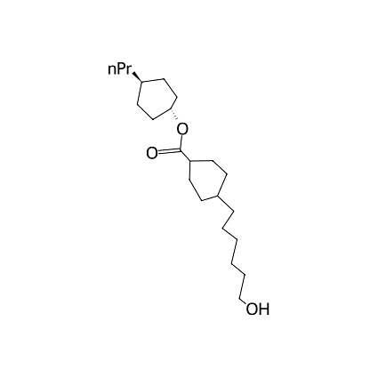 CCC[C@H]1CC[C@H](OC(=O)C2CCC(CCCCCCO)CC2)CC1